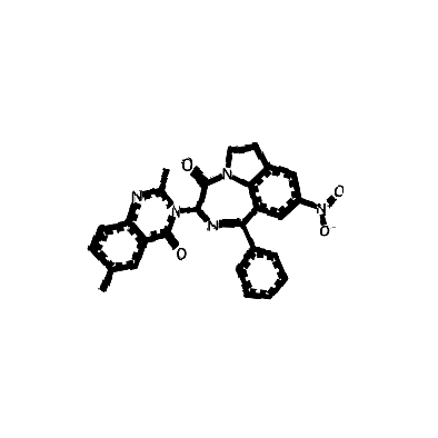 Cc1ccc2nc(C)n(C3N=C(c4ccccc4)c4cc([N+](=O)[O-])cc5c4N(CC5)C3=O)c(=O)c2c1